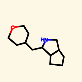 C1CC2CNC(CC3CCOCC3)C2C1